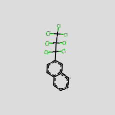 ClC(Cl)(Cl)C(Cl)(Cl)C(Cl)(Cl)c1ccc2ccc[c]c2c1